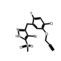 C#CCOc1cc(Cc2n[nH]c(S(C)(=O)=O)c2Br)c(F)cc1Cl